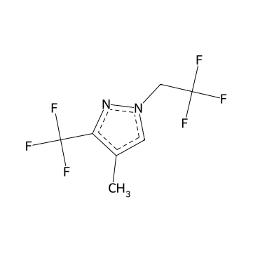 Cc1cn(CC(F)(F)F)nc1C(F)(F)F